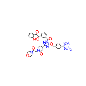 N=C(N)c1ccc(COc2nc(C3CCN(CC(=O)N4CCOCC4)C(=O)C3)nn2C(=O)c2cccc(C(O)C(=O)c3ccccc3)c2)cc1